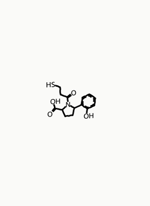 O=C(O)C1CCC(c2ccccc2O)N1C(=O)CCS